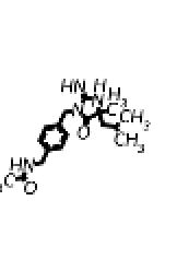 CC(=O)NCc1ccc(CN2C(=N)NC(C)(CC(C)C)C2=O)cc1